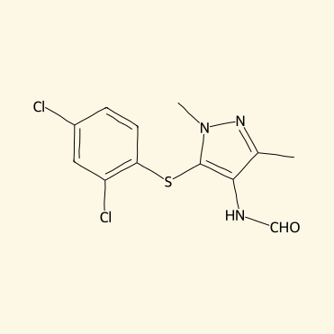 Cc1nn(C)c(Sc2ccc(Cl)cc2Cl)c1NC=O